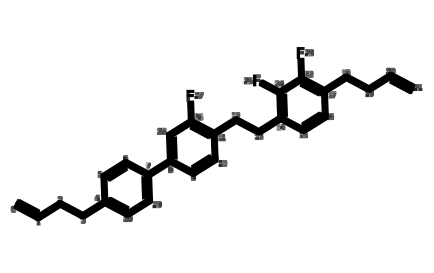 C=CCCc1ccc(-c2ccc(CCc3ccc(CCC=C)c(F)c3F)c(F)c2)cc1